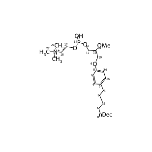 CCCCCCCCCCCCCCc1ccc(OCC(COP(O)OCC[N+](C)(C)C)OC)cc1